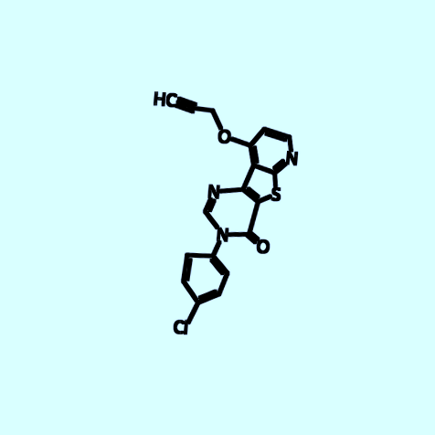 C#CCOc1ccnc2sc3c(=O)n(-c4ccc(Cl)cc4)cnc3c12